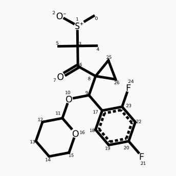 C[S+]([O-])C(C)(C)C(=O)C1(C(OC2CCCCO2)c2ccc(F)cc2F)CC1